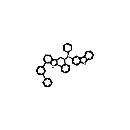 C1=CCC(N(c2ccc3sc4ccccc4c3c2)C2Cc3c(oc4c(-c5cccc(-c6ccccc6)c5)cccc34)-c3ccccc32)C=C1